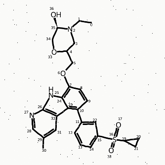 CCN1CC(COc2ccc(-c3cccc(S(=O)(=O)C4CC4)c3)c3c2[nH]c2ncc(C)cc23)OC[C@H]1O